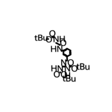 CC(C)(C)OC(=O)NCC(=O)Nc1cccc(CN=C(NC(=O)OC(C)(C)C)NC(=O)OC(C)(C)C)c1